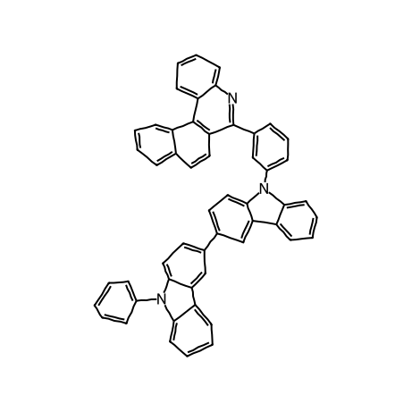 c1ccc(-n2c3ccccc3c3cc(-c4ccc5c(c4)c4ccccc4n5-c4cccc(-c5nc6ccccc6c6c5ccc5ccccc56)c4)ccc32)cc1